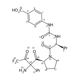 CC(C)[C@H](NC(=O)Nc1ccc(C(=O)O)cc1)C(=O)N1CCC[C@H]1C(=O)C(N)(C(=O)C(F)(F)F)C(C)C